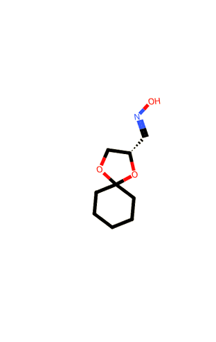 O/N=C/[C@H]1COC2(CCCCC2)O1